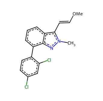 COC=Cc1c2cccc(-c3ccc(Cl)cc3Cl)c2nn1C